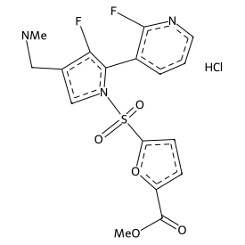 CNCc1cn(S(=O)(=O)c2ccc(C(=O)OC)o2)c(-c2cccnc2F)c1F.Cl